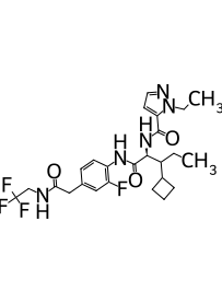 CCC(C1CCC1)[C@H](NC(=O)c1ccnn1CC)C(=O)Nc1ccc(CC(=O)NCC(F)(F)F)cc1F